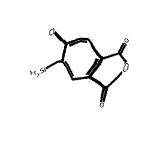 O=C1OC(=O)c2cc(Cl)c([SiH3])cc21